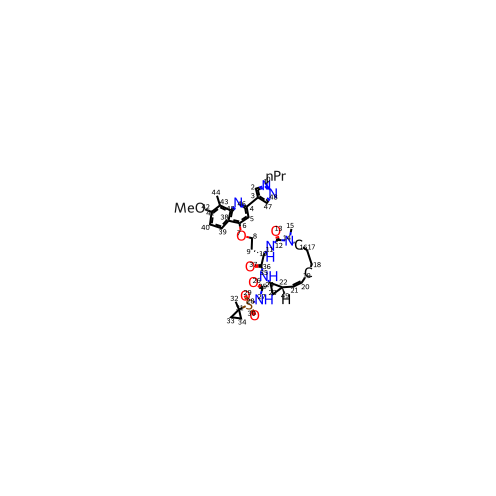 CCCn1cc(-c2cc(OCC[C@@H]3NC(=O)N(C)CCCC/C=C\[C@@H]4C[C@@]4(C(=O)NS(=O)(=O)C4(C)CC4)NC3=O)c3ccc(OC)c(C)c3n2)cn1